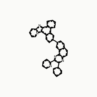 c1ccc(-c2nc3ccc4ccc(-c5ccc6c(c5)c5ccccc5c5nc7ccccn7c65)cc4c3nc2-c2ccccn2)cc1